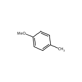 COc1[c]cc(C)cc1